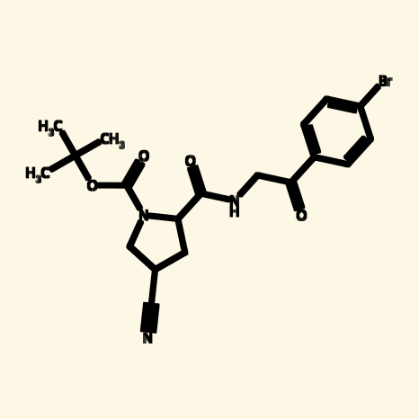 CC(C)(C)OC(=O)N1CC(C#N)CC1C(=O)NCC(=O)c1ccc(Br)cc1